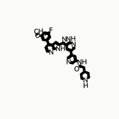 COc1cc(F)cc(-c2ccnc3[nH]c(-c4n[nH]c5ncc(-c6cncc(NC(=O)CC7CCNCC7)c6)cc45)cc23)c1